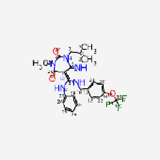 CC(C)CN1C(=N)/C(=C(\NCc2ccc(OC(F)(F)F)cc2)Nc2ccccc2)C(=O)N(C)C1=O